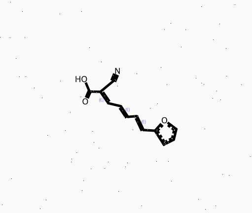 N#C\C(=C/C=C/C=C/c1ccco1)C(=O)O